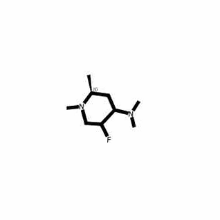 C[C@H]1CC(N(C)C)C(F)CN1C